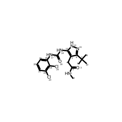 CNC(=O)Cc1c(C(C)(C)C)n[nH]c1NC(=O)Nc1cccc(Cl)c1Cl